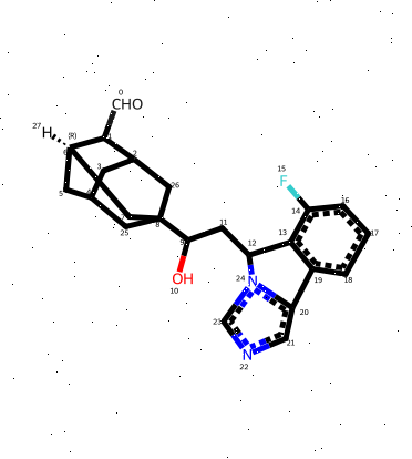 O=CC1C2CC3C[C@@H]1CC(C(O)CC1c4c(F)cccc4-c4cncn41)(C3)C2